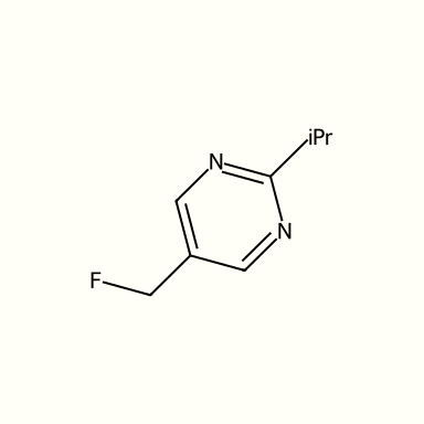 CC(C)c1ncc(CF)cn1